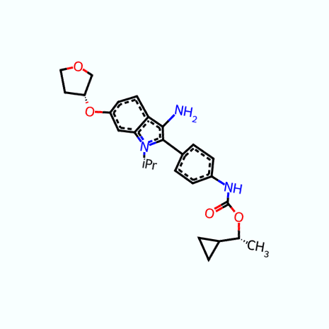 CC(C)n1c(-c2ccc(NC(=O)O[C@H](C)C3CC3)cc2)c(N)c2ccc(O[C@@H]3CCOC3)cc21